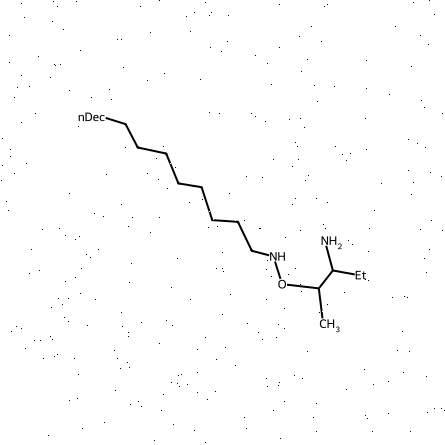 CCCCCCCCCCCCCCCCCCNOC(C)C(N)CC